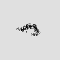 CN(C)c1ccc(-c2cnc(C(=O)Nc3ccc(C(=O)N4CCN(C(=O)C5CCNCC5)CC4)c(Cl)c3)n2C)c(Cl)n1